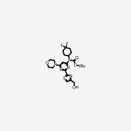 CC(C)(C)OC(=O)N(c1cc(N2CCOCC2)nc(-c2nc(CO)cs2)n1)C1CCC(F)(F)CC1